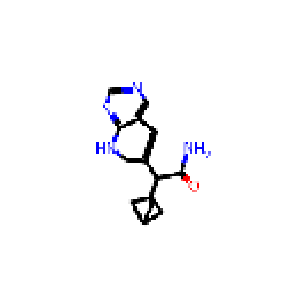 NC(=O)C(C1=Cc2cncnc2NC1)C12CC(C1)C2